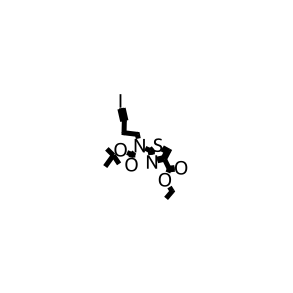 CCOC(=O)c1csc(N(CCC#CI)C(=O)OC(C)(C)C)n1